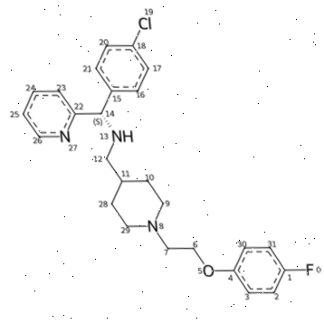 Fc1ccc(OCCN2CCC(CN[C@@H](c3ccc(Cl)cc3)c3ccccn3)CC2)cc1